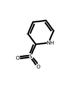 O=S(=O)=c1[c]ccc[nH]1